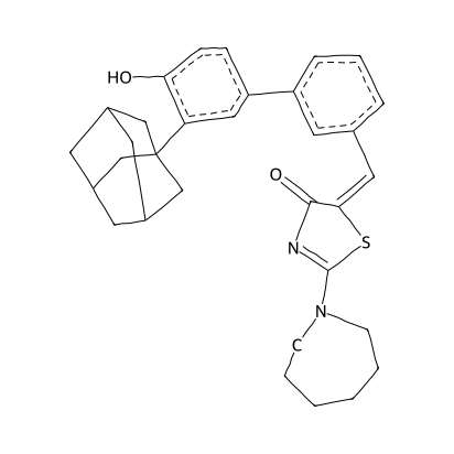 O=C1N=C(N2CCCCCC2)SC1=Cc1cccc(-c2ccc(O)c(C34CC5CC(CC(C5)C3)C4)c2)c1